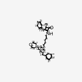 O=c1c(NCCCCCCS(=O)(=O)N(CCN2CCOCC2)OCCC2CCCCC2)c(Nc2ccncc2)c1=O